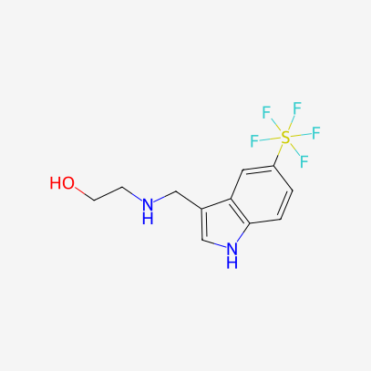 OCCNCc1c[nH]c2ccc(S(F)(F)(F)(F)F)cc12